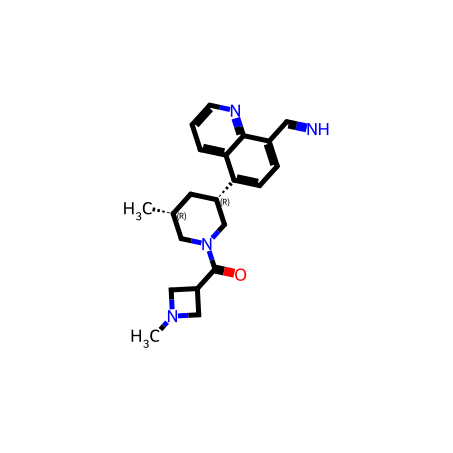 C[C@@H]1C[C@H](c2ccc(C=N)c3ncccc23)CN(C(=O)C2CN(C)C2)C1